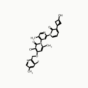 Cc1cnc(COc2cc(C)n(-c3cc(-n4cccc(C56CC(O)(C5)C6)c4=O)ncc3C)c(=O)c2Cl)c(F)c1